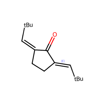 CC(C)(C)C=C1CC/C(=C\C(C)(C)C)C1=O